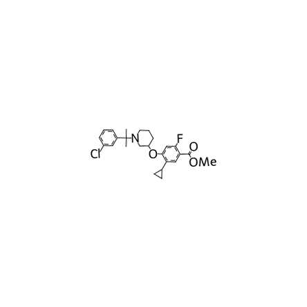 COC(=O)c1cc(C2CC2)c(OC2CCCN(C(C)(C)c3cccc(Cl)c3)C2)cc1F